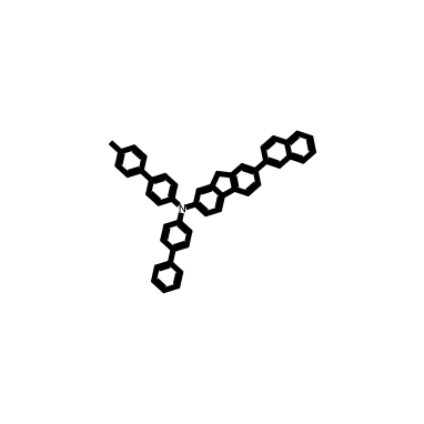 Cc1ccc(-c2ccc(N(c3ccc(-c4ccccc4)cc3)c3ccc4c(c3)Cc3cc(-c5ccc6ccccc6c5)ccc3-4)cc2)cc1